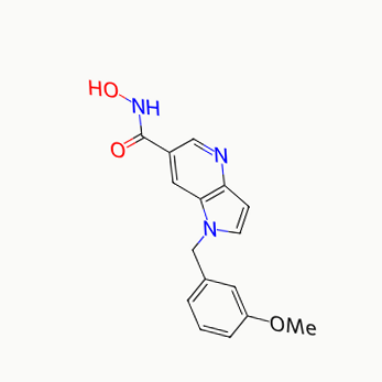 COc1cccc(Cn2ccc3ncc(C(=O)NO)cc32)c1